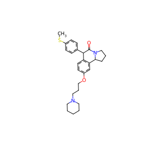 CSc1ccc(C2C(=O)N3CCCC3c3cc(OCCCN4CCCCC4)ccc32)cc1